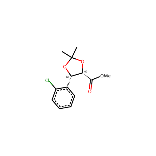 COC(=O)[C@H]1OC(C)(C)O[C@H]1c1ccccc1Cl